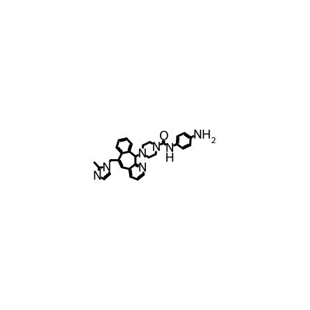 Cc1nccn1CC1=Cc2cccnc2C(N2CCN(C(=O)Nc3ccc(N)cc3)CC2)c2ccccc21